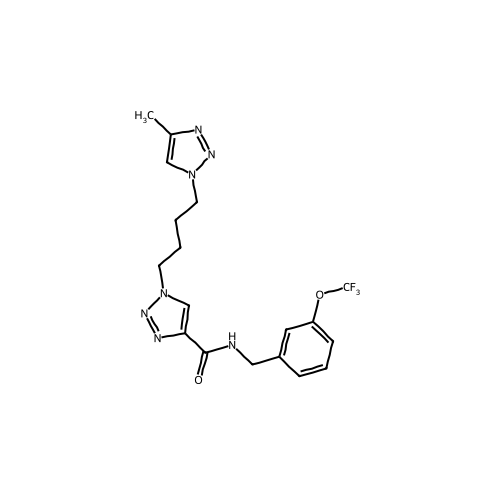 Cc1cn(CCCCn2cc(C(=O)NCc3cccc(OC(F)(F)F)c3)nn2)nn1